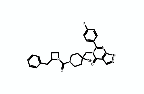 O=C(N1CCC(O)(Cn2c(-c3ccc(F)cc3)nc3[nH]ncc3c2=O)CC1)N1CCC1Cc1ccccc1